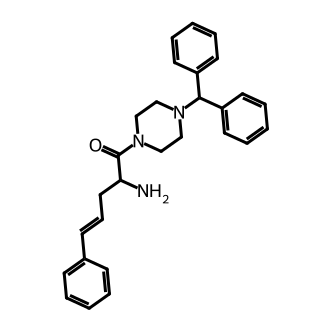 NC(C/C=C/c1ccccc1)C(=O)N1CCN(C(c2ccccc2)c2ccccc2)CC1